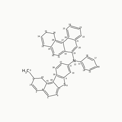 CC1C=Cc2ccc3sc4cc(N(c5ccccc5)c5cc6ccccc6c6c7c(ccc56)C=CCC7)ccc4c3c2C1